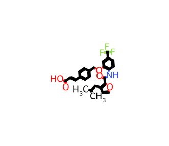 CC(C)Cc1ccoc1C(=O)Nc1ccc(C(F)(F)F)cc1OCc1ccc(/C=C/C(=O)O)cc1